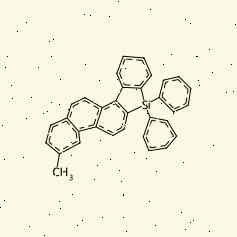 Cc1ccc2ccc3c4c(ccc3c2c1)[Si](c1ccccc1)(c1ccccc1)c1ccccc1-4